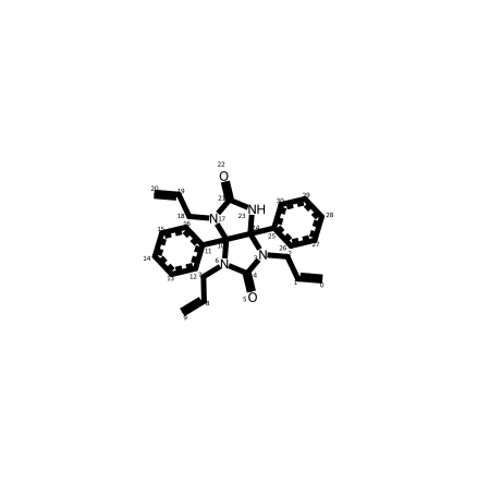 C=CCN1C(=O)N(CC=C)C2(c3ccccc3)N(CC=C)C(=O)NC12c1ccccc1